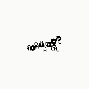 CC1Oc2cc(N3CCCC3=O)ccc2-c2cnc(Nc3cncc(NC(=O)c4ccc5c(c4)OCO5)c3)cc21